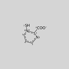 O=C([O-])c1nccc[n+]1S